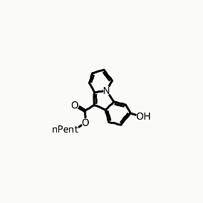 CCCCCOC(=O)c1c2ccc(O)cc2n2ccccc12